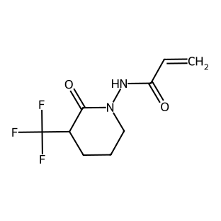 C=CC(=O)NN1CCCC(C(F)(F)F)C1=O